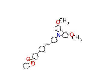 COc1ccc2c(c1)c1cc(OC)ccc1n2-c1ccc(C=Cc2ccc(-c3ccc(S(=O)(=O)c4ccccc4)cc3)cc2)cc1